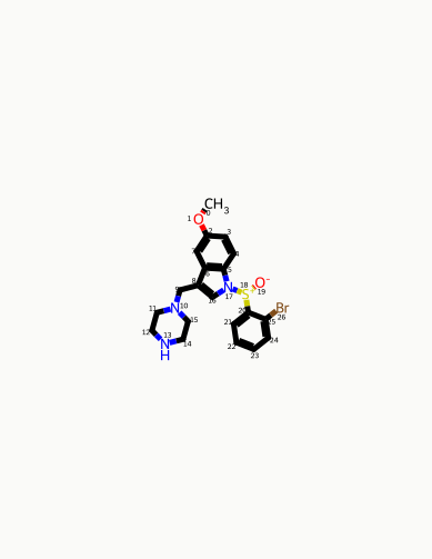 COc1ccc2c(c1)c(CN1CCNCC1)cn2[S+]([O-])c1ccccc1Br